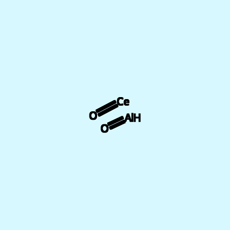 [O]=[AlH].[O]=[Ce]